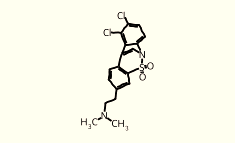 CN(C)CCc1ccc2c(c1)S(=O)(=O)n1cc-2c2c(Cl)c(Cl)ccc21